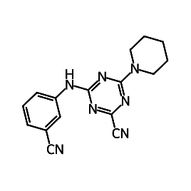 N#Cc1cccc(Nc2nc(C#N)nc(N3CCCCC3)n2)c1